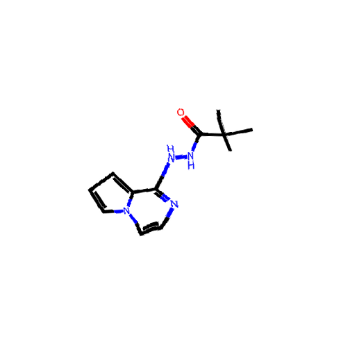 CC(C)(C)C(=O)NNc1nccn2cccc12